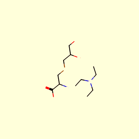 CCN(CC)CC.NC(CSCC(O)CO)C(=O)O